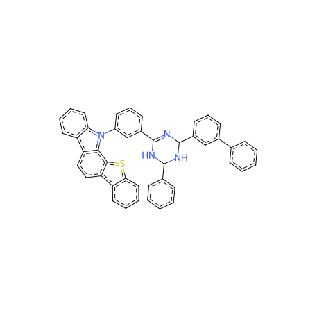 c1ccc(-c2cccc(C3N=C(c4cccc(-n5c6ccccc6c6ccc7c8ccccc8sc7c65)c4)NC(c4ccccc4)N3)c2)cc1